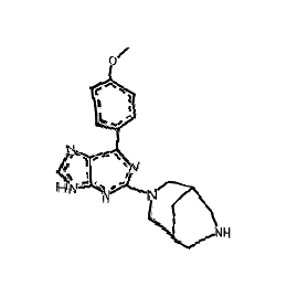 COc1ccc(-c2nc(N3CC4CNCC(C4)C3)nc3[nH]cnc23)cc1